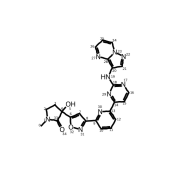 CN1CCC(O)(c2cc(-c3cccc(-c4ccnc(Nc5cnn6cccnc56)n4)n3)no2)C1=O